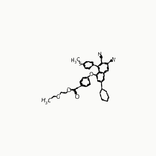 CCOCCOC(=O)c1ccc(Oc2cc(C3CCCCC3)cc3cc(C#N)c(C#N)c(-c4ccc(SC)cc4)c23)cc1